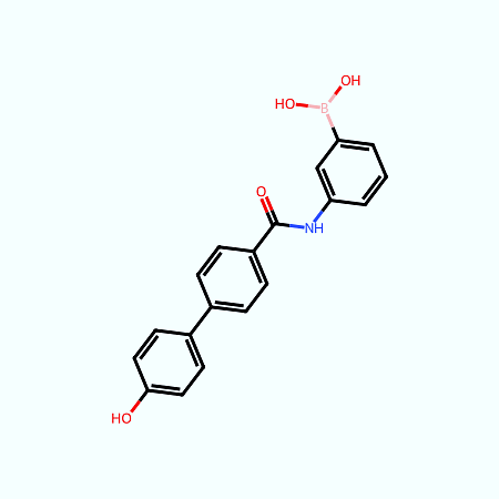 O=C(Nc1cccc(B(O)O)c1)c1ccc(-c2ccc(O)cc2)cc1